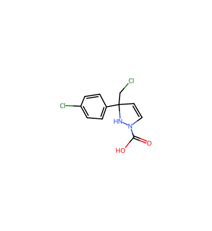 O=C(O)N1C=CC(CCl)(c2ccc(Cl)cc2)N1